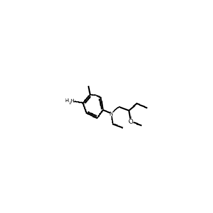 CCC(CN(CC)c1ccc(N)c(C)c1)OC